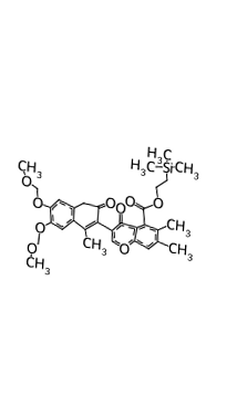 COCOc1cc2c(cc1OCOC)C(C)=C(c1coc3cc(C)c(C)c(C(=O)OCC[Si](C)(C)C)c3c1=O)C(=O)C2